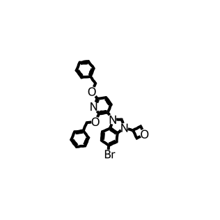 Brc1ccc2c(c1)N(C1COC1)CN2c1ccc(OCc2ccccc2)nc1OCc1ccccc1